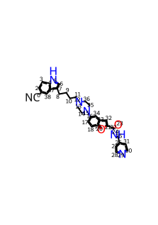 N#Cc1ccc2[nH]cc(CCCCN3CCN(c4ccc5oc(C(=O)NCc6ccncc6)cc5c4)CC3)c2c1